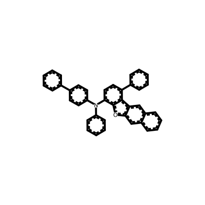 c1ccc(-c2ccc(N(c3ccccc3)c3ccc(-c4ccccc4)c4c3oc3cc5ccccc5cc34)cc2)cc1